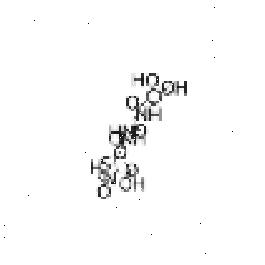 C[C@@]1(COC(=O)NNC(=O)CNC(=O)c2ccc(O)c(O)c2)S[C@@H]2CC(=O)N2[C@H]1C(=O)O